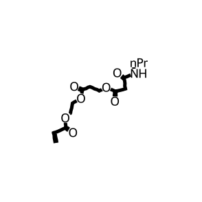 C=CC(=O)OCCOC(=O)CCOC(=O)CC(=O)NCCC